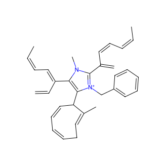 C=C/C(=C\C=C/C)c1c(C2/C=C\C=C/C/C=C/2C)[n+](Cc2ccccc2)c(C(=C)/C=C\C=C/C)n1C